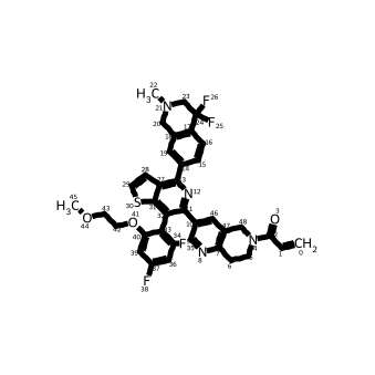 C=CC(=O)N1CCc2ncc(-c3nc(-c4ccc5c(c4)CN(C)CC5(F)F)c4ccsc4c3-c3c(F)cc(F)cc3OCCOC)cc2C1